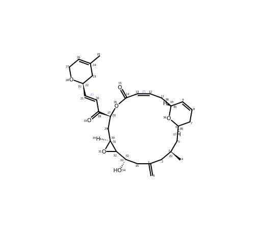 C=C1C[C@H](C)C[C@@H]2CC=C[C@@H](C/C=C\C(=O)O[C@H](C(=O)/C=C/[C@@H]3CC(C)=CCO3)C[C@@H]3OC3[C@@H](O)C1)O2